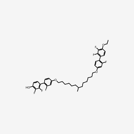 CCOc1ccc(-c2ccc(OCCCCCCC(C)CCCCCCOc3ccc(-c4ccc(O)c(F)c4F)c(F)c3)cc2F)c(F)c1F